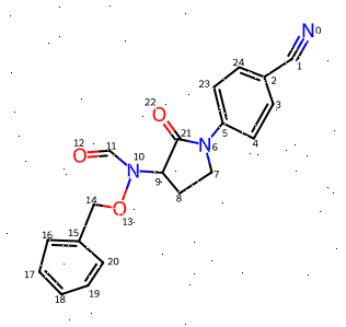 N#Cc1ccc(N2CCC(N(C=O)OCc3ccccc3)C2=O)cc1